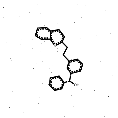 OC(c1ccccc1)c1cccc(CCc2ccc3ccccc3n2)c1